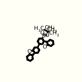 CC1(C)OB(c2ccc(-c3ccc4c(c3)oc3ccccc34)c3oc4ccccc4c23)OC1(C)C